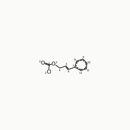 O=C(Cl)OCC=Cc1ccccc1